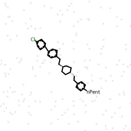 CCCCCc1ccc(CC[C@H]2CC[C@H](CCc3ccc(-c4ccc(Cl)cc4)cc3)CC2)cc1